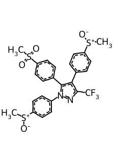 C[S+]([O-])c1ccc(-c2c(C(F)(F)F)nn(-c3ccc([S+](C)[O-])cc3)c2-c2ccc(S(C)(=O)=O)cc2)cc1